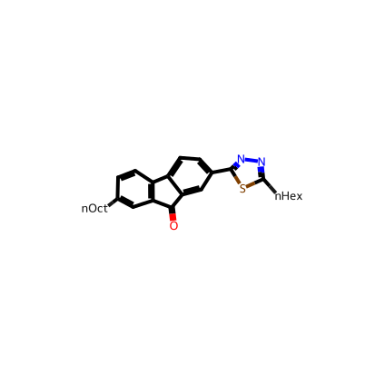 CCCCCCCCc1ccc2c(c1)C(=O)c1cc(-c3nnc(CCCCCC)s3)ccc1-2